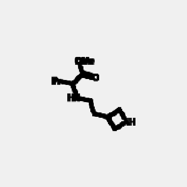 COC(=O)C(NCCC1CNC1)C(C)C